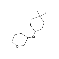 CC1(F)CCC(NC2CCCOC2)CC1